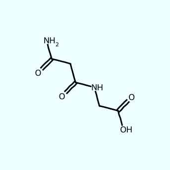 NC(=O)CC(=O)NCC(=O)O